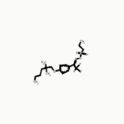 CCCCC(C)(C)COc1ccc(/C(=N/OS(=O)(=O)CCC)C(F)(F)F)cc1